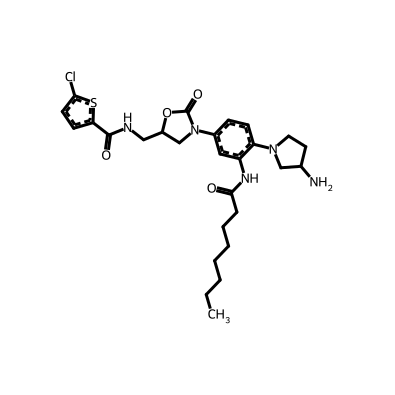 CCCCCCCC(=O)Nc1cc(N2CC(CNC(=O)c3ccc(Cl)s3)OC2=O)ccc1N1CCC(N)C1